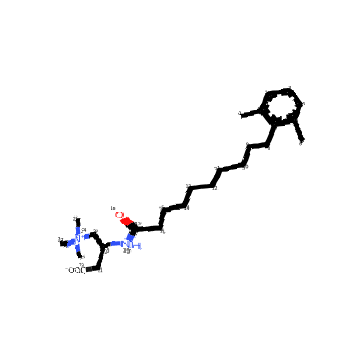 Cc1cccc(C)c1CCCCCCCCCC(=O)NC(CC(=O)[O-])C[N+](C)(C)C